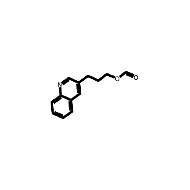 O=COCCCc1cnc2ccccc2c1